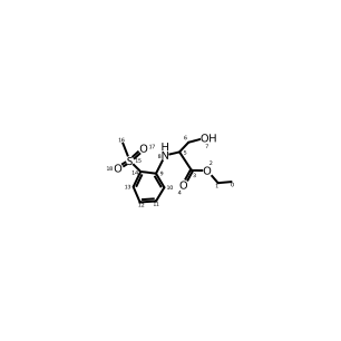 CCOC(=O)C(CO)Nc1ccccc1S(C)(=O)=O